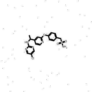 CC(Nc1ncc(Cl)cn1)c1ccnc(Oc2ccc(CS(N)(=O)=O)cc2)c1